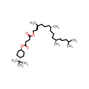 C/C(=C\COC(=O)CCC(=O)O[C@H]1CC[C@H](C(C)(C)C)CC1)CCC[C@H](C)CCC[C@H](C)CCCC(C)C